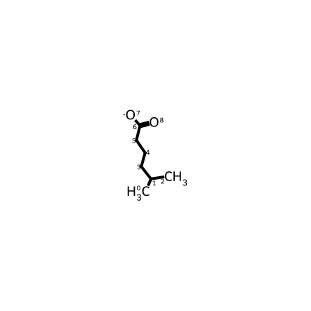 CC(C)CCCC([O])=O